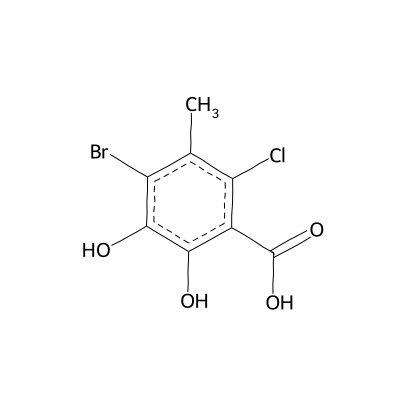 Cc1c(Cl)c(C(=O)O)c(O)c(O)c1Br